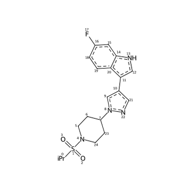 CC(C)S(=O)(=O)N1CCC(n2cc(-c3c[nH]c4cc(F)ccc34)cn2)CC1